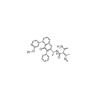 C=N/C(C)=C(/C(=C)N)C(=O)N[C@@H](C)c1cc2cccc(-c3ccnc(OC(C)C)c3)c2c(=O)n1-c1ccccc1